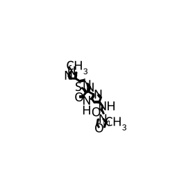 C[C@@H]1COCCN1CC(=O)Nc1cnc2c(c1)[nH]c(=O)c1c2nn2cc(-c3cnn(C)c3)sc12